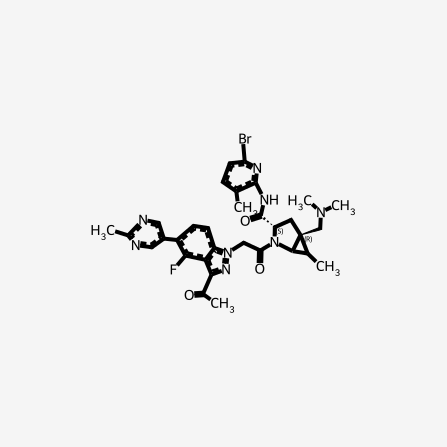 CC(=O)c1nn(CC(=O)N2C3C(C)[C@@]3(CN(C)C)C[C@H]2C(=O)Nc2nc(Br)ccc2C)c2ccc(-c3cnc(C)nc3)c(F)c12